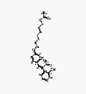 CCC(C)C(=O)OCCCCCCCOc1cc2oc(=O)c(-c3ccccc3C#N)cc2cn1